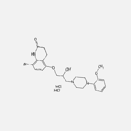 COc1ccccc1N1CCN(CC(O)COc2ccc(Br)c3c2CCC(=O)N3)CC1.Cl.Cl